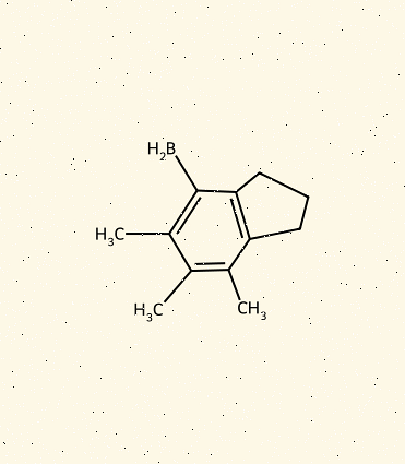 Bc1c(C)c(C)c(C)c2c1CCC2